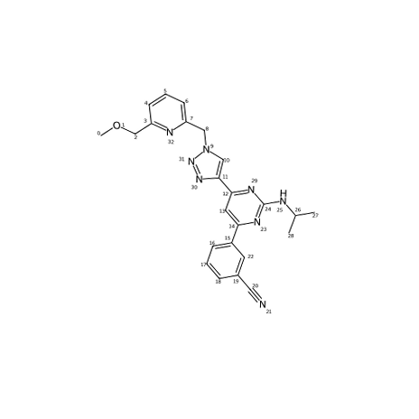 COCc1cccc(Cn2cc(-c3cc(-c4cccc(C#N)c4)nc(NC(C)C)n3)nn2)n1